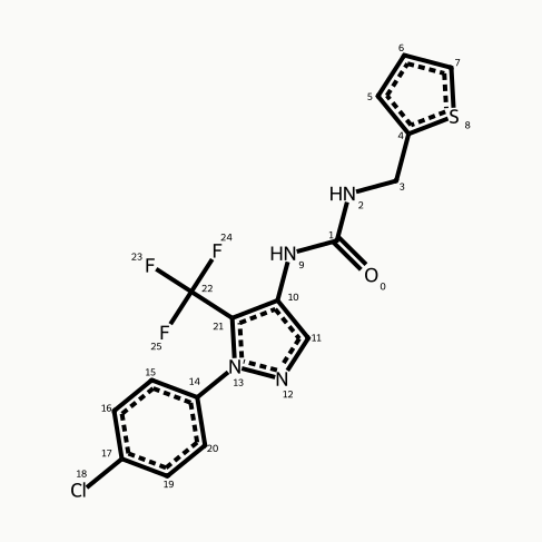 O=C(NCc1cccs1)Nc1cnn(-c2ccc(Cl)cc2)c1C(F)(F)F